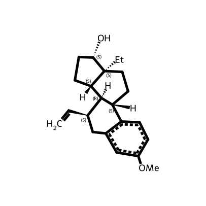 C=C[C@@H]1Cc2cc(OC)ccc2[C@H]2CC[C@]3(CC)[C@@H](O)CC[C@H]3[C@H]12